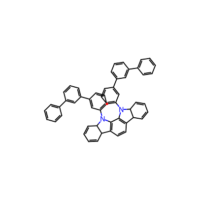 C1=CC2c3ccc4c(c3N(c3cccc(-c5cccc(-c6ccccc6)c5)c3)C2C=C1)N(c1cccc(-c2cccc(-c3ccccc3)c2)c1)C1C=CC=CC41